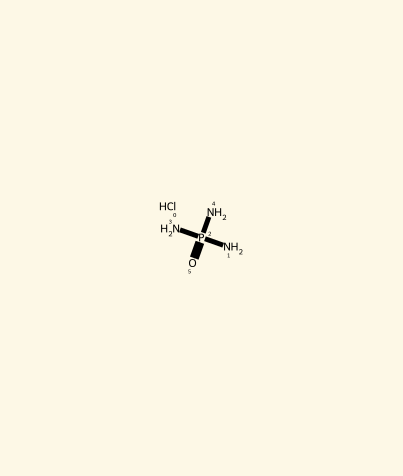 Cl.NP(N)(N)=O